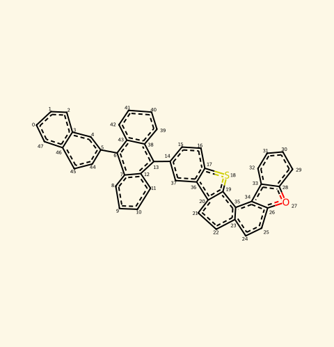 c1ccc2cc(-c3c4ccccc4c(-c4ccc5sc6c(ccc7ccc8oc9ccccc9c8c76)c5c4)c4ccccc34)ccc2c1